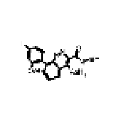 CCCNC(=O)c1nnc2c(-c3ccc(F)cc3OC)cccc2c1[AsH2]